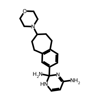 NC1=NC(N)(c2ccc3c(c2)CCC(N2CCOCC2)CC3)NC=C1